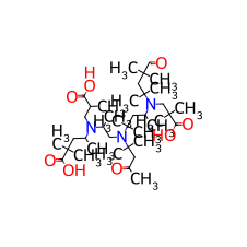 CC(=O)CC(C)(C)N(CC(C)N(CC(C)C(=O)O)C(C)CC(C)(C)C(=O)O)C(C)(C)CC(C)N(CC(C)(C)C(=O)O)C(C)(C)CC(C)(C)C=O